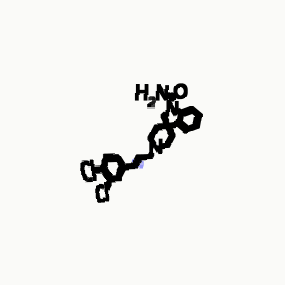 NC(=O)N1CC2(CCN(C/C=C/c3ccc(Cl)c(Cl)c3)CC2)c2ccccc21